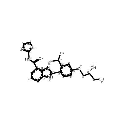 O=C(Nc1nccs1)c1cccc2[nH]c(-c3ccc(OC[C@H](O)CO)cc3C(F)F)nc12